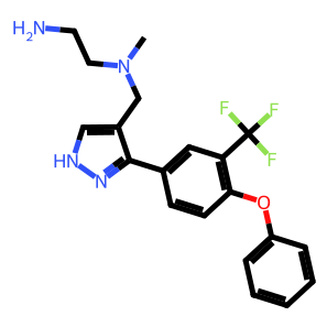 CN(CCN)Cc1c[nH]nc1-c1ccc(Oc2ccccc2)c(C(F)(F)F)c1